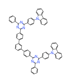 c1ccc(-c2nc(-c3ccc(-c4cccc(-c5ccc(-c6nc(-c7ccccc7)nc(-c7ccc(-n8c9ccccc9c9ccccc98)cc7)n6)cc5)c4)cc3)nc(-c3ccc(-n4c5ccccc5c5ccccc54)cc3)n2)cc1